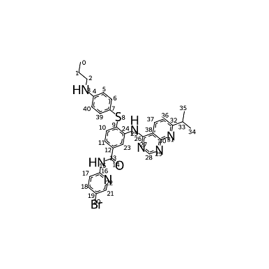 CCCNc1ccc(Sc2ccc(C(=O)Nc3ccc(Br)cn3)cc2Nc2ncnc3nc(C(C)C)ccc23)cc1